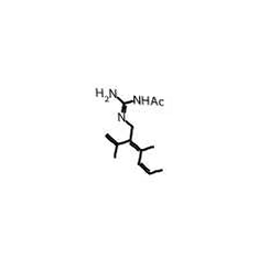 C=C(C)/C(C/N=C(/N)NC(C)=O)=C(C)\C=C/C